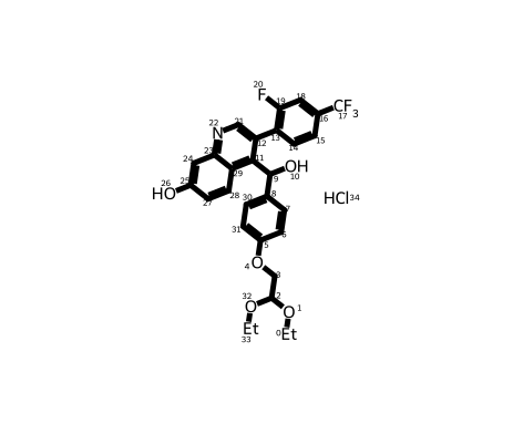 CCOC(COc1ccc(C(O)c2c(-c3ccc(C(F)(F)F)cc3F)cnc3cc(O)ccc23)cc1)OCC.Cl